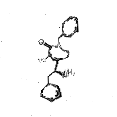 NC(Cc1ccccc1)c1ccn(Cc2ccccc2)c(=O)c1O